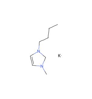 CCCCN1C=CN(C)C1.[K]